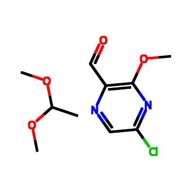 COC(C)OC.COc1nc(Cl)cnc1C=O